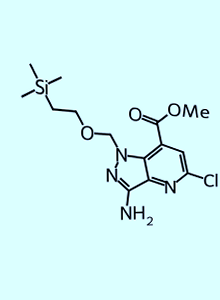 COC(=O)c1cc(Cl)nc2c(N)nn(COCC[Si](C)(C)C)c12